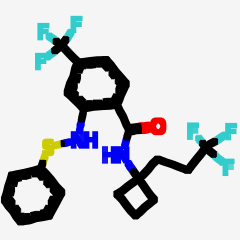 O=C(NC1(CCC(F)(F)F)CCC1)c1ccc(C(F)(F)F)cc1NSc1ccccc1